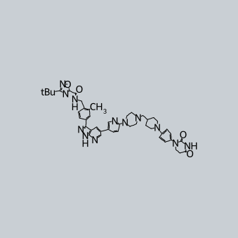 Cc1cc(-c2n[nH]c3ncc(-c4ccc(N5CCN(CC6CCN(c7ccc(N8CCC(=O)NC8=O)cc7)CC6)CC5)nc4)cc23)ccc1CNC(=O)c1nc(C(C)(C)C)no1